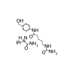 CC(C)[C@H](N)C(N)=O.NC(=O)NCCCCC(=O)Nc1ccc(CO)cc1